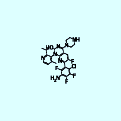 Cc1ccnc(C(C)C)c1N1c2nc(-c3c(F)c(N)c(F)c(F)c3Cl)c(F)cc2C(N2CCNCC2)=NC1O